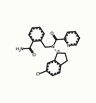 NC(=O)c1ccccc1CN(C(=O)c1ccccn1)[C@@H]1CCc2ccc(Cl)cc21